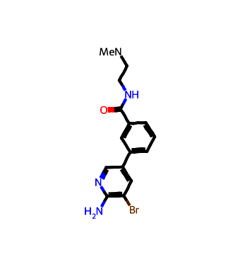 CNCCNC(=O)c1cccc(-c2cnc(N)c(Br)c2)c1